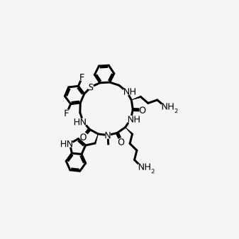 CN1C(=O)[C@H](CCCCN)NC(=O)[C@H](CCCN)NCc2ccccc2Sc2c(F)ccc(F)c2CNC(=O)[C@@H]1Cc1c[nH]c2ccccc12